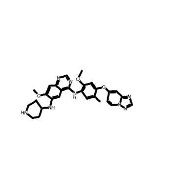 COc1cc(Oc2ccn3ncnc3c2)c(C)cc1Nc1ncnc2cc(OC)c(NC3CCNCC3)cc12